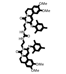 COc1cc2c(cc1OC)-c1cc(=Nc3c(C)cc(C)cc3C)n(CCNC(=O)NCCn3c(=Nc4c(C)cc(C)cc4C)cc4n(c3=O)CCc3cc(OC)c(OC)cc3-4)c(=O)n1CC2